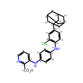 O=C(O)c1ncccc1Nc1ccc(Nc2ccc(C34CC5CC(CC(C5)C3)C4)cc2Cl)cc1